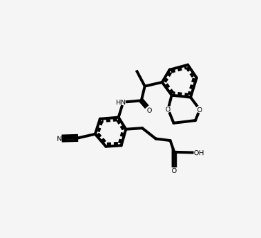 CC(C(=O)Nc1cc(C#N)ccc1CCCC(=O)O)c1cccc2c1OCCO2